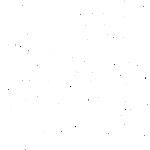 CN(C)[C@@H]1CCN(C(=O)c2nc(N3CCN(C(=O)N4N=CC[C@H]4c4cc(F)cc(F)c4)CC3)ncc2F)C1